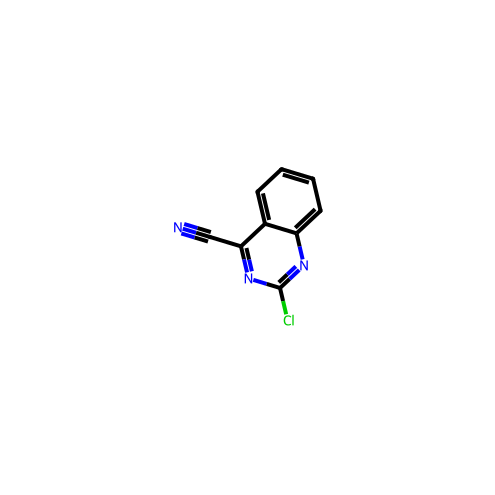 N#Cc1nc(Cl)nc2ccccc12